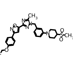 Cc1nc(-c2cc(-c3ccc(OCF)cc3)no2)nn1Cc1cccc(N2CCC(S(C)(=O)=O)CC2)c1